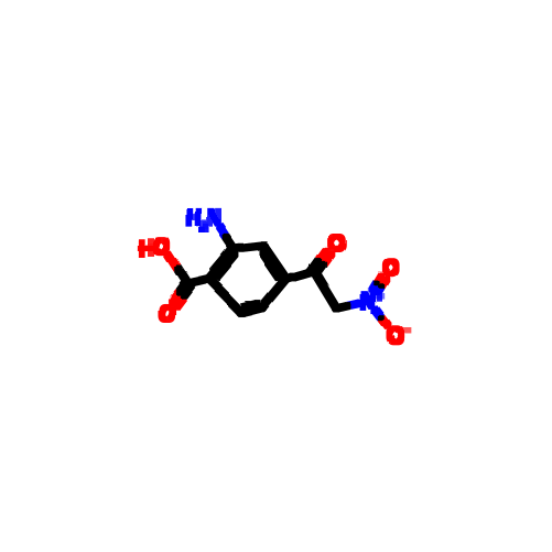 Nc1cc(C(=O)C[N+](=O)[O-])ccc1C(=O)O